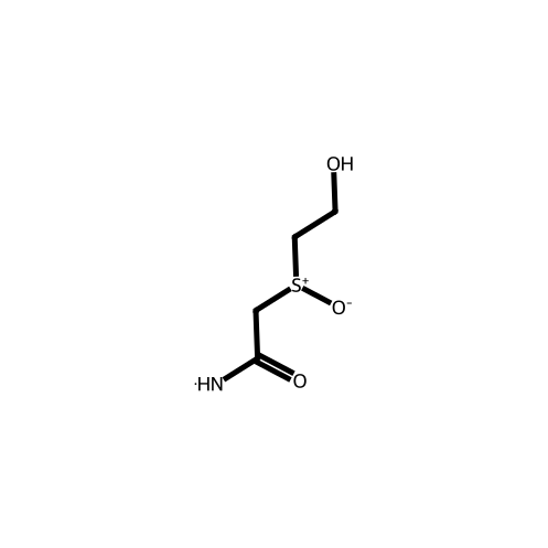 [NH]C(=O)C[S+]([O-])CCO